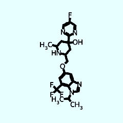 CC1CC(O)(c2ncc(F)cn2)CC(COc2cc(C(F)(F)F)c3c(c2)ncn3C(C)C)N1